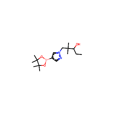 CCC(O)C(C)(C)Cn1cc(B2OC(C)(C)C(C)(C)O2)cn1